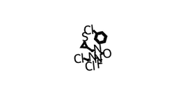 O=C1N(c2cccc(Cl)c2)C(C2CC2=S)N(C(Cl)Cl)N1F